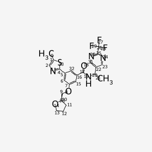 Cc1cnc(-c2cc(OC[C@H]3CCCO3)cc(C(=O)NC(C)c3cnc(C(F)(F)F)nc3)c2)s1